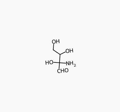 NC(O)(C=O)C(O)CO